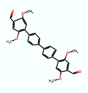 COc1cc(-c2ccc(-c3ccc(-c4cc(OC)c(C=O)cc4OC)cc3)cc2)c(OC)cc1C=O